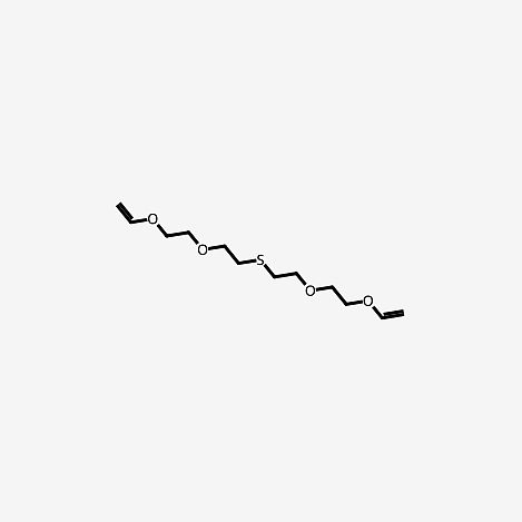 C=COCCOCCSCCOCCOC=C